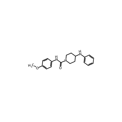 COc1ccc(NC(=O)N2CCC(Nc3ccccc3)CC2)cc1